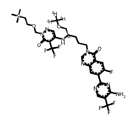 [2H]C([2H])([2H])OC[C@@H](CCCn1cnc2cc(-c3ncc(C(F)(F)F)c(N)n3)c(F)cc2c1=O)Nc1cnn(COCC[Si](C)(C)C)c(=O)c1C(F)(F)F